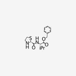 CC(C)[C@H](NC(=O)[C@H]1NCCS1)C(=O)OCc1ccccc1